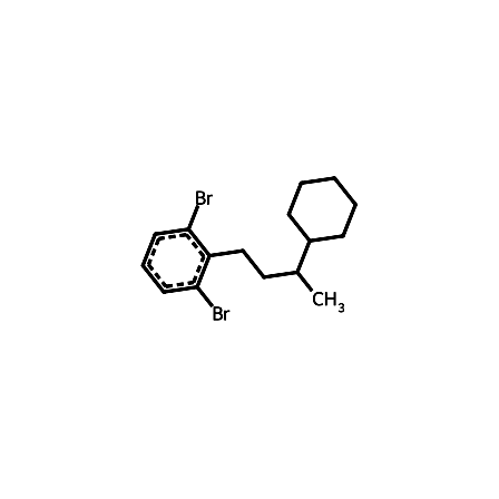 CC(CCc1c(Br)cccc1Br)C1CCCCC1